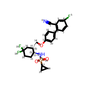 N#Cc1cc(F)ccc1-c1ccc(OC[C@H]2CC(F)(F)CC[C@@H]2NS(=O)(=O)C2CC2)cc1